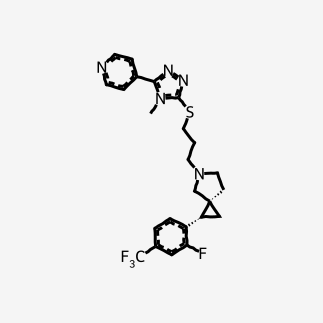 Cn1c(SCCCN2CC[C@@]3(C[C@@H]3c3ccc(C(F)(F)F)cc3F)C2)nnc1-c1ccncc1